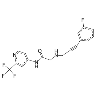 O=C(CNCC#Cc1cccc(F)c1)Nc1ccnc(C(F)(F)F)c1